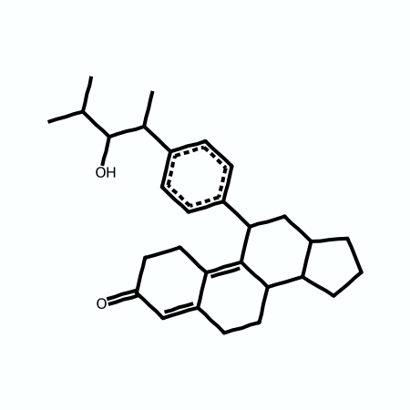 CC(C)C(O)C(C)c1ccc(C2CC3CCCC3C3CCC4=CC(=O)CCC4=C23)cc1